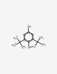 [CH]c1cc(C(C)(C)C)c(O)c(C(C)(C)C)c1